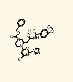 CC(NC(=O)CC1CN(C(=O)OCc2ccccc2)CCN1c1cc(Cl)nc(-n2ccnc2)n1)c1ccc2c(c1)OCO2